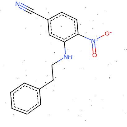 N#Cc1ccc([N+](=O)[O-])c(NCCc2ccccc2)c1